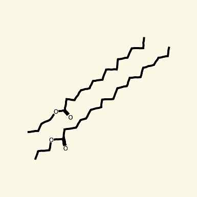 CCCCCCCCCCCCCC(=O)OCCCC.CCCCCCCCCCCCCCCCCC(=O)OCCC